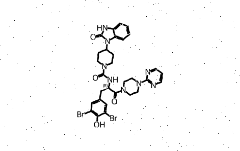 O=C(N[C@H](Cc1cc(Br)c(O)c(Br)c1)C(=O)N1CCN(c2ncccn2)CC1)N1CCC(n2c(=O)[nH]c3ccccc32)CC1